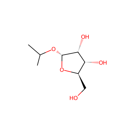 CC(C)O[C@H]1O[C@H](CO)[C@@H](O)[C@H]1O